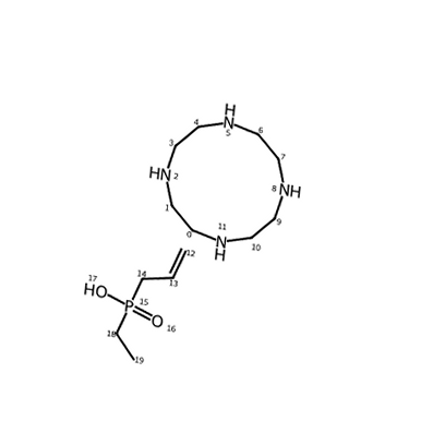 C1CNCCNCCNCCN1.C=CCP(=O)(O)CC